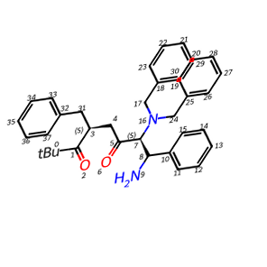 CC(C)(C)C(=O)[C@H](CC(=O)[C@H](C(N)c1ccccc1)N(Cc1ccccc1)Cc1ccccc1)Cc1ccccc1